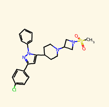 CS(=O)(=O)N1CC(N2CCC(c3cc(-c4ccc(Cl)cc4)nn3-c3ccccc3)CC2)C1